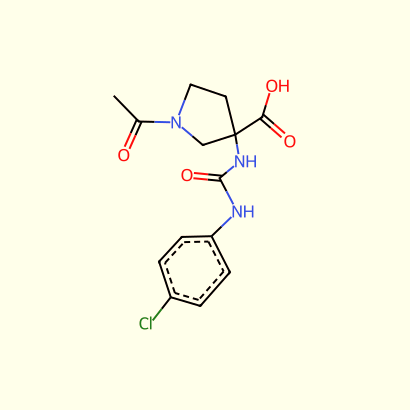 CC(=O)N1CCC(NC(=O)Nc2ccc(Cl)cc2)(C(=O)O)C1